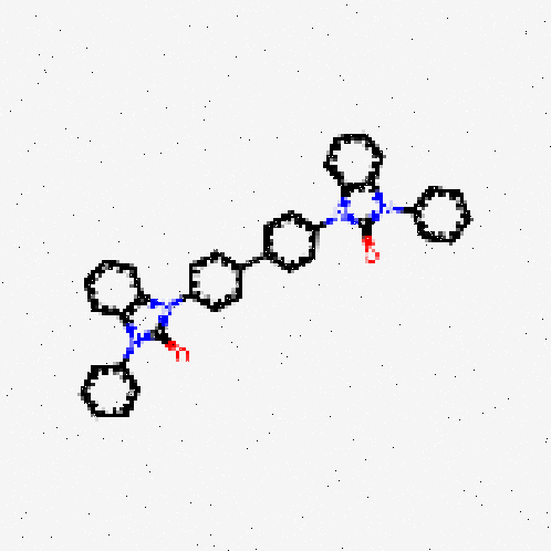 O=c1n(-c2ccccc2)c2ccccc2n1-c1ccc(-c2ccc(-n3c(=O)n(-c4ccccc4)c4ccccc43)cc2)cc1